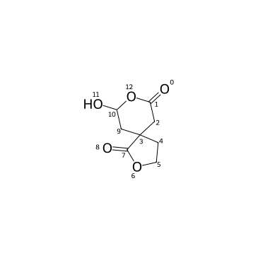 O=C1CC2(CCOC2=O)CC(O)O1